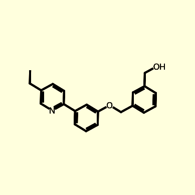 CCc1ccc(-c2cccc(OCc3cccc(CO)c3)c2)nc1